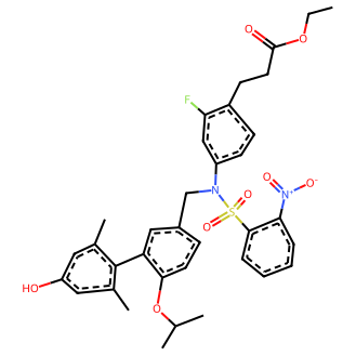 CCOC(=O)CCc1ccc(N(Cc2ccc(OC(C)C)c(-c3c(C)cc(O)cc3C)c2)S(=O)(=O)c2ccccc2[N+](=O)[O-])cc1F